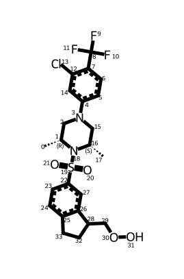 C[C@@H]1CN(c2ccc(C(F)(F)F)c(Cl)c2)C[C@H](C)N1S(=O)(=O)c1ccc2c(c1)C(COO)CC2